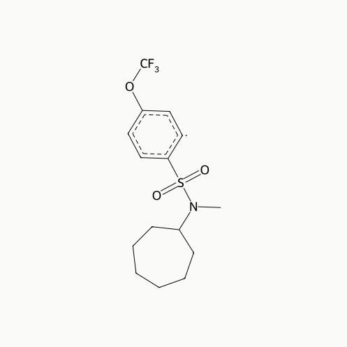 CN(C1CCCCCC1)S(=O)(=O)c1[c]cc(OC(F)(F)F)cc1